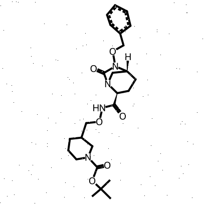 CC(C)(C)OC(=O)N1CCCC(CONC(=O)[C@@H]2CC[C@@H]3CN2C(=O)N3OCc2ccccc2)C1